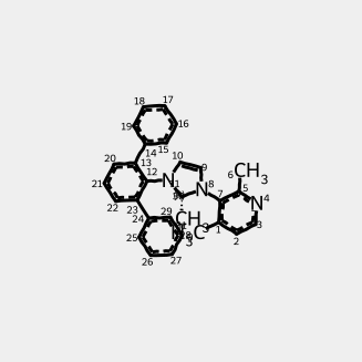 Cc1ccnc(C)c1N1C=CN(c2c(-c3ccccc3)cccc2-c2ccccc2)[C@H]1C